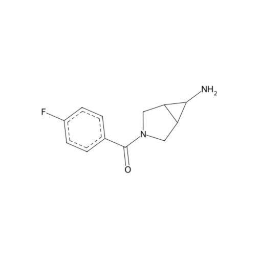 NC1C2CN(C(=O)c3ccc(F)cc3)CC12